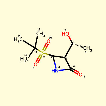 C[C@@H](O)C1C(=O)NC1S(=O)(=O)C(C)(C)C